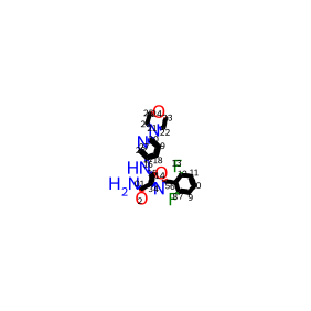 NC(=O)c1nc(C2C(F)=CC=CC2F)oc1Nc1ccc(N2CCOCC2)nc1